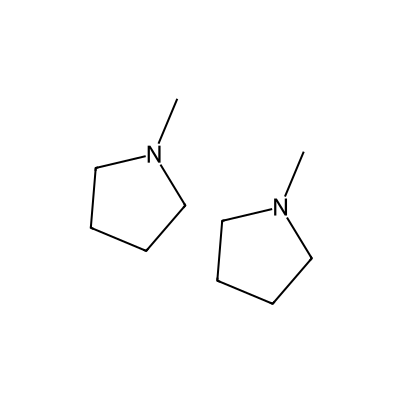 CN1CCCC1.CN1CCCC1